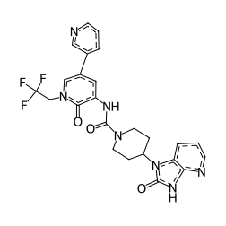 O=C(Nc1cc(-c2cccnc2)cn(CC(F)(F)F)c1=O)N1CCC(n2c(=O)[nH]c3ncccc32)CC1